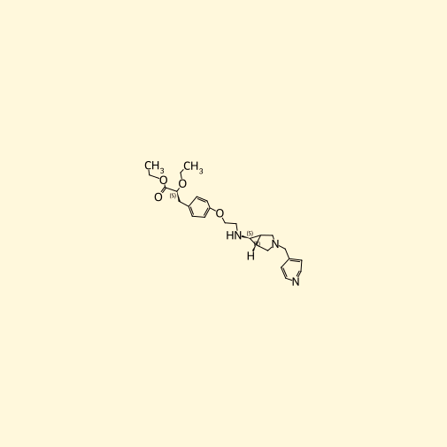 CCOC(=O)[C@H](Cc1ccc(OCCN[C@H]2C3CN(Cc4ccncc4)C[C@@H]32)cc1)OCC